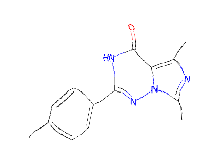 Cc1ccc(-c2nn3c(C)nc(C)c3c(=O)[nH]2)cc1